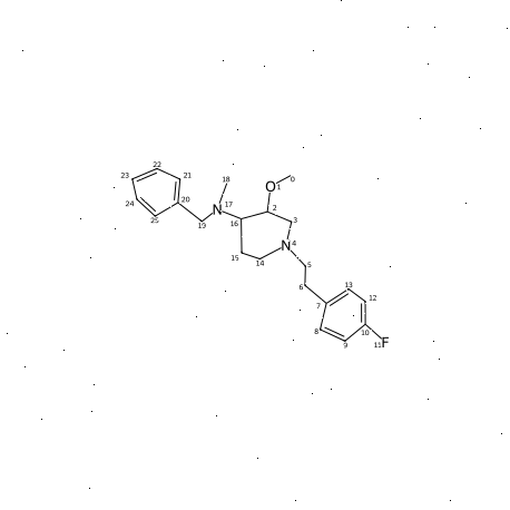 COC1CN(CCc2ccc(F)cc2)CCC1N(C)Cc1ccccc1